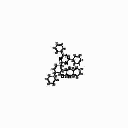 c1ccc(-c2nc(-c3ccccc3)nc(-c3ccc(-c4ccccc4)c4oc5nc6ccccc6cc5c34)n2)cc1